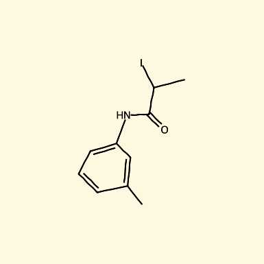 Cc1cccc(NC(=O)C(C)I)c1